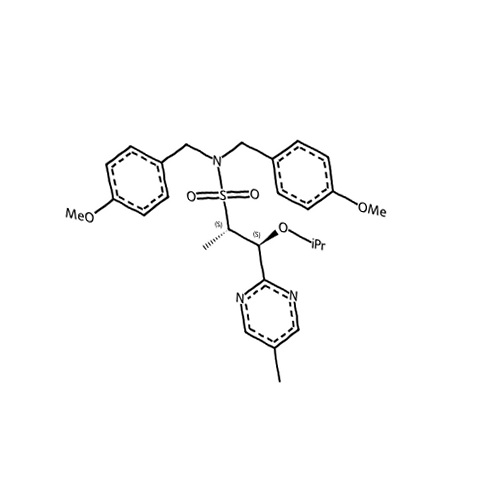 COc1ccc(CN(Cc2ccc(OC)cc2)S(=O)(=O)[C@@H](C)[C@@H](OC(C)C)c2ncc(C)cn2)cc1